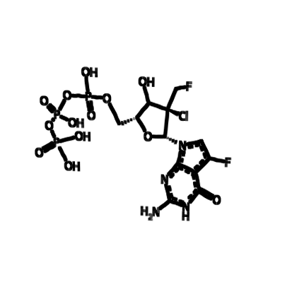 Nc1nc2c(c(F)cn2[C@@H]2O[C@H](COP(=O)(O)OP(=O)(O)OP(=O)(O)O)C(O)[C@]2(Cl)CF)c(=O)[nH]1